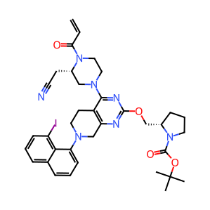 C=CC(=O)N1CCN(c2nc(OC[C@@H]3CCCN3C(=O)OC(C)(C)C)nc3c2CCN(c2cccc4cccc(I)c24)C3)C[C@@H]1CC#N